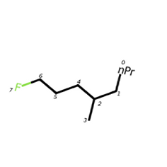 CCCCC(C)CCCF